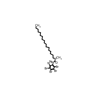 CCCCCCCCCCCCCCCCCCN(C)C(=O)n1nnc2c(Br)c(Br)c(Br)c(Br)c21